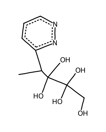 CC(c1cccnn1)C(O)(O)C(O)(O)CO